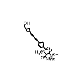 CNC(=O)C(C(=O)NO)N(C)C(=O)c1ccc(C#CC#CC2CC(CO)C2)cc1